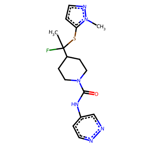 Cn1nccc1SC(C)(F)C1CCN(C(=O)Nc2ccnnc2)CC1